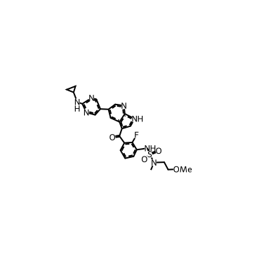 COCCN(C)S(=O)(=O)Nc1cccc(C(=O)c2c[nH]c3ncc(-c4cnc(NC5CC5)nc4)cc23)c1F